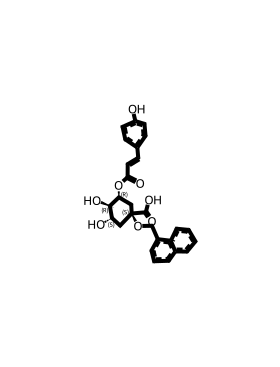 O=C(C=Cc1ccc(O)cc1)O[C@@H]1C[C@](OCc2cccc3ccccc23)(C(=O)O)C[C@H](O)[C@H]1O